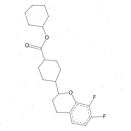 O=C(OC1CCCCC1)C1CCC(C2CCc3ccc(F)c(F)c3O2)CC1